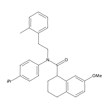 COc1ccc2c(c1)C(C(=O)N(CCc1ccccc1C)c1ccc(C(C)C)cc1)CCC2